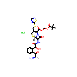 C[C@H](N)C(=O)c1ccccc1C(O)C(=O)NC1C(=O)N2C(C(=O)OCOC(=O)C(C)(C)C)=C(CSc3ncns3)CS[C@@H]12.Cl